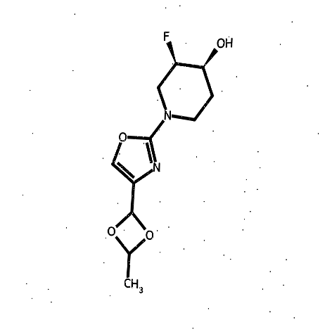 CC1OC(c2coc(N3CC[C@H](O)[C@H](F)C3)n2)O1